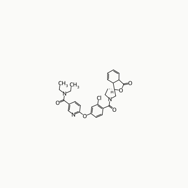 CCN(CC)C(=O)c1ccc(Oc2ccc(C(=O)N3CC[C@@]4(C3)OC(=O)C3C=CC=CC34)c(Cl)c2)nc1